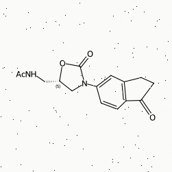 CC(=O)NC[C@H]1CN(c2ccc3c(c2)CCC3=O)C(=O)O1